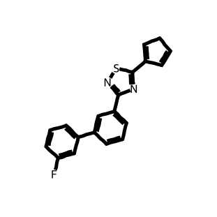 Fc1cccc(-c2cccc(-c3nsc(C4=CCC=C4)n3)c2)c1